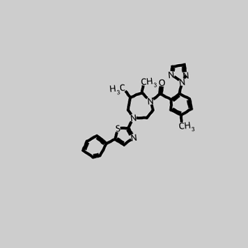 Cc1ccc(-n2nccn2)c(C(=O)N2CCN(c3ncc(-c4ccccc4)s3)CC(C)C2C)c1